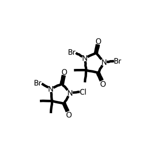 CC1(C)C(=O)N(Br)C(=O)N1Br.CC1(C)C(=O)N(Cl)C(=O)N1Br